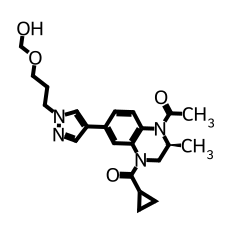 CC(=O)N1c2ccc(-c3cnn(CCCOCO)c3)cc2N(C(=O)C2CC2)C[C@@H]1C